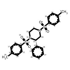 Cc1ccc(S(=O)(=O)N2CCN(S(=O)(=O)c3ccc(C)cc3)[C@@H](c3ccccc3)C2)cc1